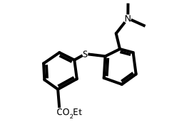 CCOC(=O)c1cccc(Sc2ccccc2CN(C)C)c1